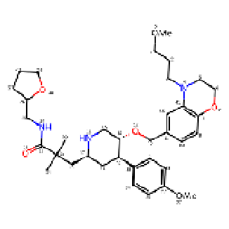 COCCCN1CCOc2ccc(CO[C@H]3CN[C@H](CC(C)(C)C(=O)NCC4CCCO4)C[C@@H]3c3ccc(OC)cc3)cc21